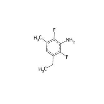 CCc1cc(C)c(F)c(N)c1F